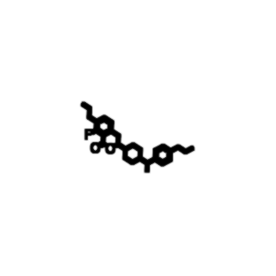 CCCc1ccc(C(C)C2CCC(C3Cc4ccc(CCC)c(F)c4C(=O)O3)CC2)cc1